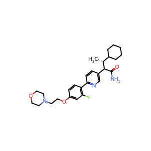 C[C@H](C1CCCCC1)C(C(N)=O)c1ccc(-c2ccc(OCCN3CCOCC3)cc2F)nc1